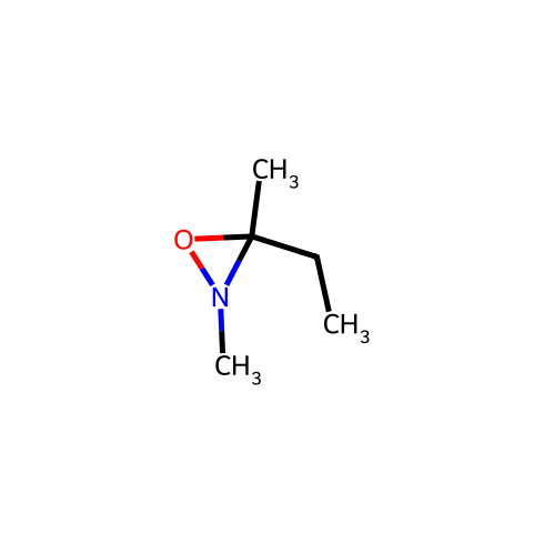 CCC1(C)ON1C